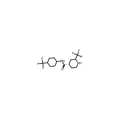 O=C(NC1CCC(C(F)(F)F)CC1)[C@H]1CCNC(C(F)(F)F)C1